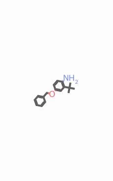 CC(C)(C)c1cc(OCc2ccccc2)ccc1N